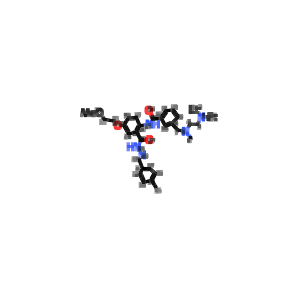 CCN(CC)CCN(C)Cc1cccc(C(=O)Nc2ccc(OCCOC)cc2C(=O)NN=Cc2ccc(C)cc2)c1